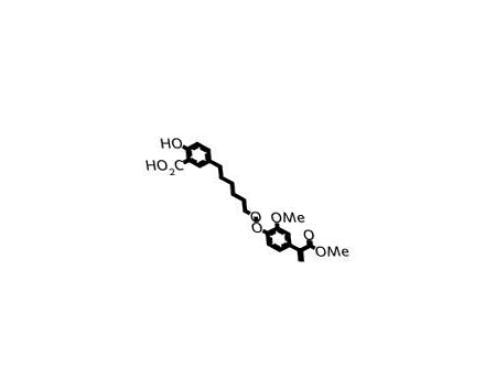 C=C(C(=O)OC)c1ccc(OOCCCCCCc2ccc(O)c(C(=O)O)c2)c(OC)c1